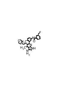 Cc1ccc(NC(=O)c2cccc(CF)c2)cc1-c1nc2[nH]nc(N)c2c(C)c1CCN1CCOCC1